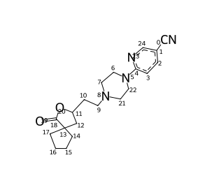 N#Cc1ccc(N2CCN(CCC3CC4(CCCC4)C(=O)O3)CC2)nc1